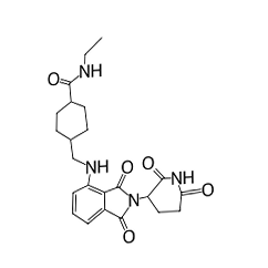 CCNC(=O)C1CCC(CNc2cccc3c2C(=O)N(C2CCC(=O)NC2=O)C3=O)CC1